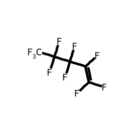 FC(F)=C(F)C(F)(F)C(F)(F)C(F)(F)F